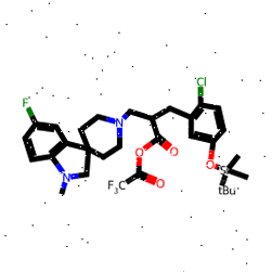 CN1CC2(CCN(CC(Cc3cc(O[Si](C)(C)C(C)(C)C)ccc3Cl)C(=O)OC(=O)C(F)(F)F)CC2)c2cc(F)ccc21